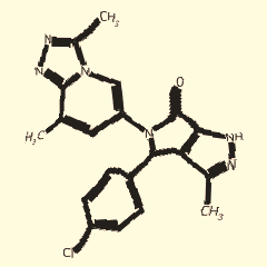 Cc1n[nH]c2c1C(c1ccc(Cl)cc1)N(c1cc(C)c3nnc(C)n3c1)C2=O